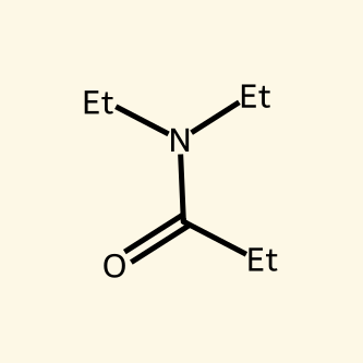 [CH2]CC(=O)N(CC)CC